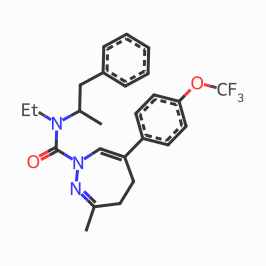 CCN(C(=O)N1C=C(c2ccc(OC(F)(F)F)cc2)CCC(C)=N1)C(C)Cc1ccccc1